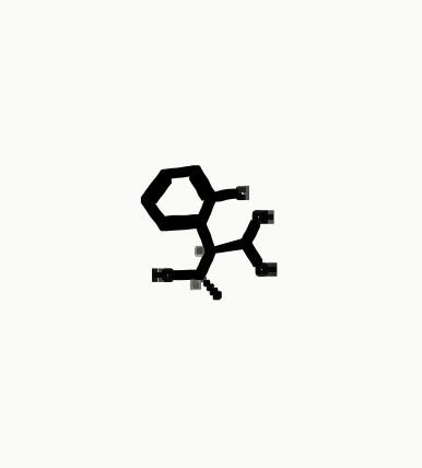 C[C@H](O)[C@@H](c1ccccc1Cl)C(O)O